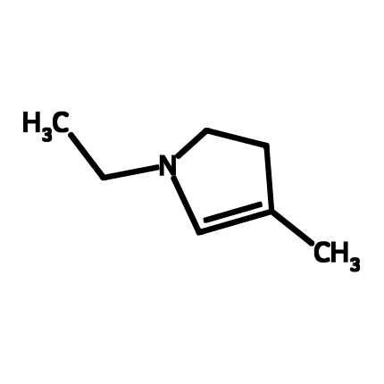 CCN1C=C(C)CC1